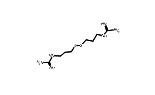 N=C(N)NCCCSSCCCNC(=N)N